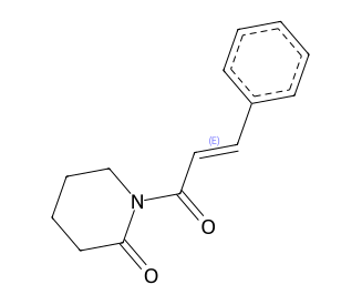 O=C(/C=C/c1ccccc1)N1CCCCC1=O